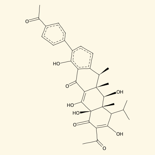 CC(=O)C1=C(O)C(C(C)C)[C@@]2(C)[C@H](O)[C@]3(C)C(=C(O)[C@@]2(O)C1=O)C(=O)c1c(ccc(-c2ccc(C(C)=O)cc2)c1O)[C@H]3C